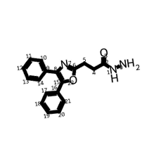 NNC(=O)CCc1nc(-c2ccccc2)c(-c2ccccc2)o1